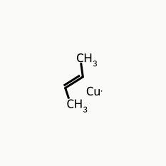 CC=CC.[Cu]